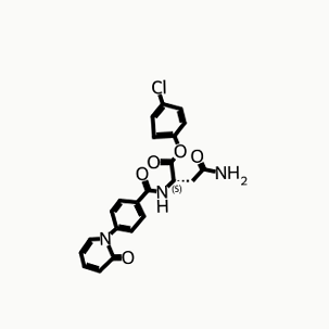 NC(=O)C[C@H](NC(=O)c1ccc(-n2ccccc2=O)cc1)C(=O)Oc1ccc(Cl)cc1